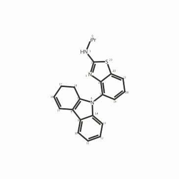 CC(C)Nc1nc2c(-n3c4c(c5ccccc53)C=CCC4)cccc2s1